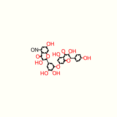 O=Nc1cc(O)cc2oc(-c3cc(O)c(O)c(Oc4cc(O)c5c(=O)c(O)c(-c6ccc(O)cc6)oc5c4)c3)c(O)c(=O)c12